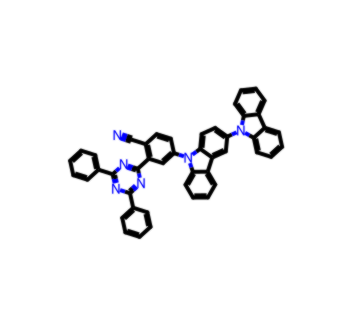 N#Cc1ccc(-n2c3ccccc3c3cc(-n4c5ccccc5c5ccccc54)ccc32)cc1-c1nc(-c2ccccc2)nc(-c2ccccc2)n1